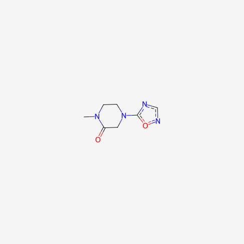 CN1CCN(c2ncno2)CC1=O